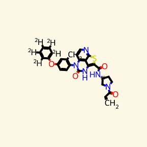 [2H]c1c([2H])c([2H])c(Oc2ccc(N3C(=O)Nc4c(C(=O)N[C@@H]5CCN(C(=O)C=C)C5)sc5nccc3c45)c(C)c2)c([2H])c1[2H]